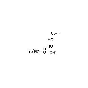 [Co+2].[OH-].[OH-].[OH-].[OH-].[OH-].[Yb+3]